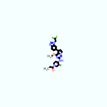 CCC(=O)N1CC[C@@H](Nc2nc(OC)c3c(-c4ccc5nnn(CC(F)F)c5c4)ccn3n2)[C@@H](F)C1